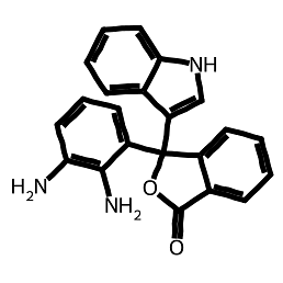 Nc1cccc(C2(c3c[nH]c4ccccc34)OC(=O)c3ccccc32)c1N